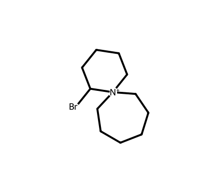 BrC1CCCC[N+]12CCCCCC2